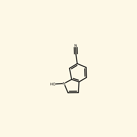 N#Cc1ccc2ccn(O)c2c1